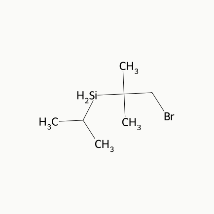 CC(C)[SiH2]C(C)(C)CBr